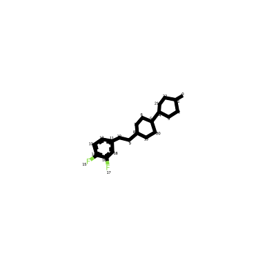 CC1CCC(C2CCC(CCc3ccc(F)c(F)c3)CC2)CC1